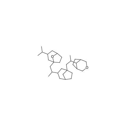 CC(C)C1CC2CCC(CC(C)C3CC4CCC(CC(C)C5C6CCC5COC6)(C4)C3)(C1)O2